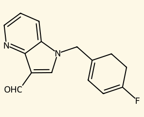 O=Cc1cn(CC2=CC=C(F)CC2)c2cccnc12